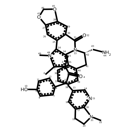 Cc1c(C(=O)N(c2ccc(O)cc2)c2cnc3c(c2)CCN3C)cc(-c2cc3c(cc2C(=O)N2Cc4ccccc4C[C@H]2CN)OCO3)n1C